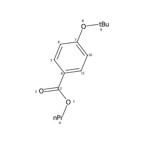 CCCOC(=O)c1ccc(OC(C)(C)C)cc1